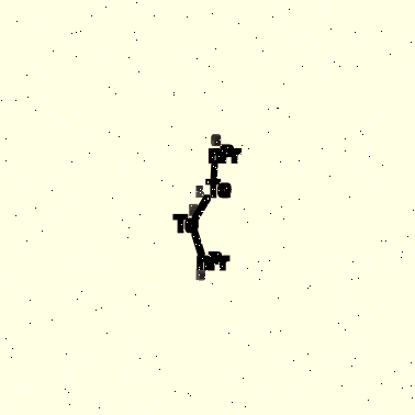 CCC[Te][Te]CCC